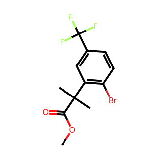 COC(=O)C(C)(C)c1cc(C(F)(F)F)ccc1Br